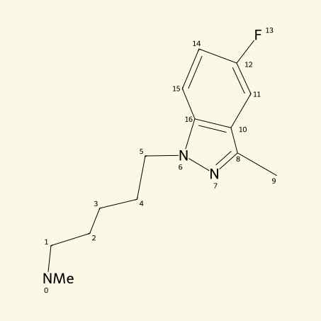 CNCCCCCn1nc(C)c2cc(F)ccc21